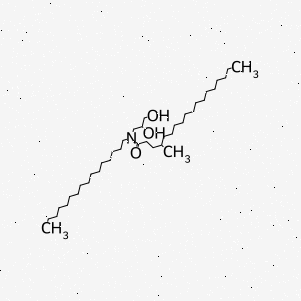 CCCCCCCCCCCCCCCCN(CC(O)CO)C(=O)CCC(C)CCCCCCCCCCCCCC